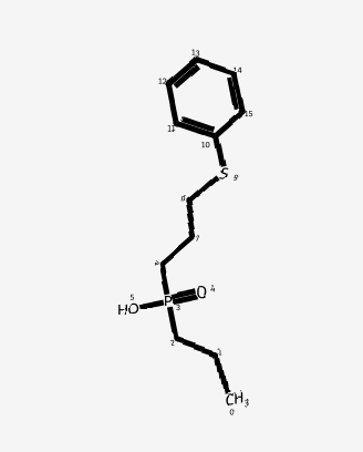 CCCP(=O)(O)CCCSc1ccccc1